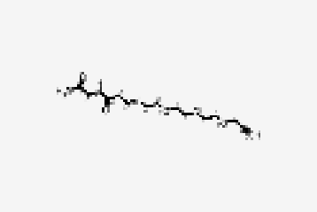 C#CCOCCOCCOCCOCCC(=O)NCC(N)=O